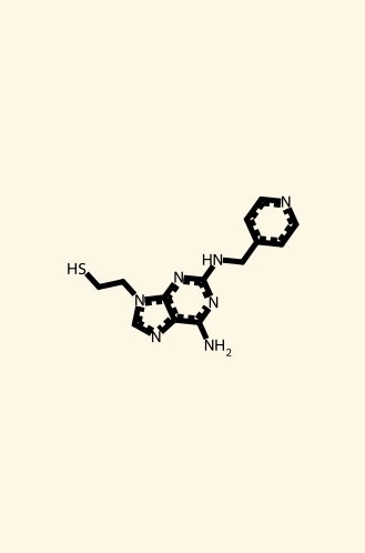 Nc1nc(NCc2ccncc2)nc2c1ncn2CCS